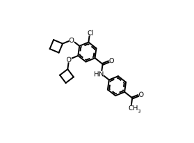 CC(=O)c1ccc(NC(=O)c2cc(Cl)c(OC3CCC3)c(OC3CCC3)c2)cc1